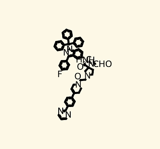 CN(C=O)C1(C(=O)Nc2ccc3c(c2)c(-c2ccc(F)cc2)nn3C(c2ccccc2)(c2ccccc2)c2ccccc2)CCN(CC(=O)N2CC=C(c3ccc(-c4ncccn4)cc3)CC2)C1